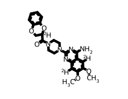 [2H]c1c(OC)c(OC)c([2H])c2c(N)nc(N3CCN(C(=O)C4([2H])COc5ccccc5O4)CC3)nc12